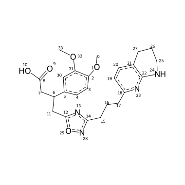 COc1ccc(C(CC(=O)O)Cc2nc(CCCc3ccc4c(n3)NCCC4)no2)cc1OC